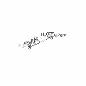 C=C=C=C=CC(CCCCC)CCOC(=O)CCCCCCCC(CCCCCCCC(=O)OCCC(C)CCCCC)CCCN(CC)CC